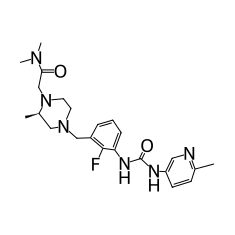 Cc1ccc(NC(=O)Nc2cccc(CN3CCN(CC(=O)N(C)C)[C@H](C)C3)c2F)cn1